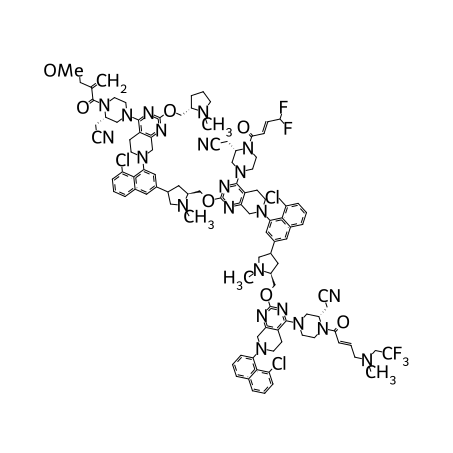 C=C(COC)C(=O)N1CCN(c2nc(OC[C@@H]3CCCN3C)nc3c2CCN(c2cc(C4C[C@@H](COc5nc6c(c(N7CCN(C(=O)/C=C/C(F)F)[C@@H](CC#N)C7)n5)CCN(c5cc(C7C[C@@H](COc8nc9c(c(N%10CCN(C(=O)/C=C/CN(C)CC(F)(F)F)[C@@H](CC#N)C%10)n8)CCN(c8cccc%10cccc(Cl)c8%10)C9)N(C)C7)cc7cccc(Cl)c57)C6)N(C)C4)cc4cccc(Cl)c24)C3)C[C@@H]1CC#N